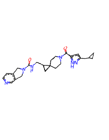 O=C(NCC1CC12CCN(C(=O)c1cc(C3CC3)n[nH]1)CC2)N1Cc2ccncc2C1